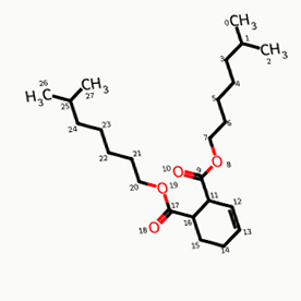 CC(C)CCCCCOC(=O)C1C=CCCC1C(=O)OCCCCCC(C)C